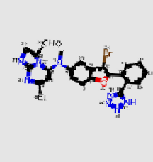 CCc1cc(N(C)c2ccc3oc(-c4ccccc4-c4nnn[nH]4)c(Br)c3c2)n2c(C=O)cnc2n1